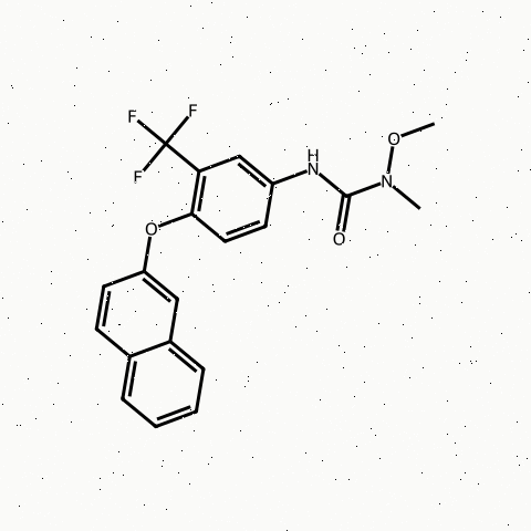 CON(C)C(=O)Nc1ccc(Oc2ccc3ccccc3c2)c(C(F)(F)F)c1